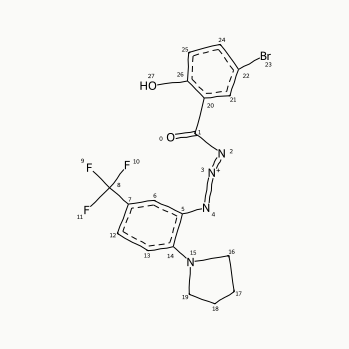 O=C(N=[N+]=Nc1cc(C(F)(F)F)ccc1N1CCCC1)c1cc(Br)ccc1O